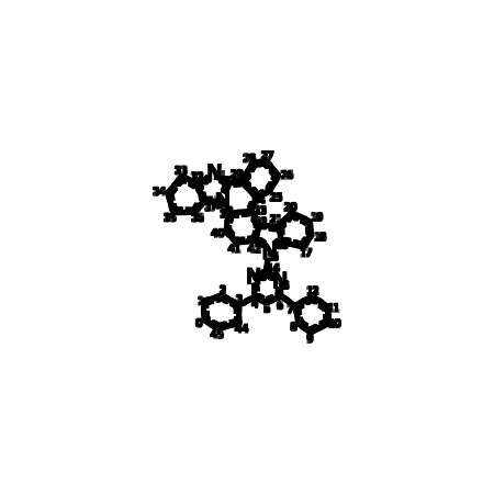 c1ccc(-c2cc(-c3ccccc3)nc(-n3c4ccccc4c4c5c6ccccc6c6nc7ccccc7n6c5ccc43)n2)cc1